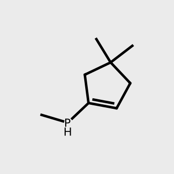 CPC1=CCC(C)(C)C1